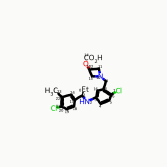 CC[C@@H](Nc1ccc(Cl)c(CN2CC(OC(=O)O)C2)c1)c1ccc(Cl)c(C)c1